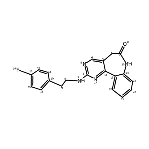 O=C1Cc2cnc(NCCc3ccc(F)cc3)nc2-c2ccccc2N1